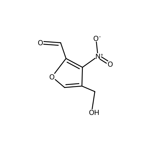 O=Cc1occ(CO)c1[N+](=O)[O-]